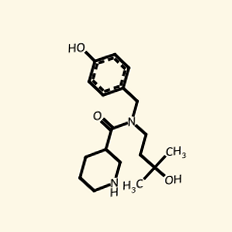 CC(C)(O)CCN(Cc1ccc(O)cc1)C(=O)C1CCCNC1